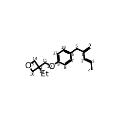 C=C(/C=C/C)Cc1ccc(OCC2(CC)COC2)cc1